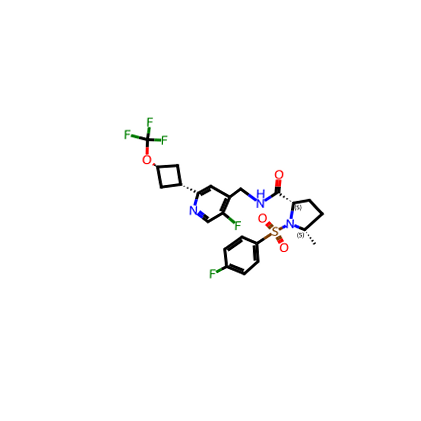 C[C@H]1CC[C@@H](C(=O)NCc2cc([C@H]3C[C@@H](OC(F)(F)F)C3)ncc2F)N1S(=O)(=O)c1ccc(F)cc1